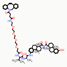 CC(C)C(NC(=O)CCOCCOCCOCCOCCNC(=O)CCC(=O)N1Cc2ccccc2C#Cc2ccccc21)C(=O)N[C@@H](C)C(=O)Nc1ccc2c(c1)[C@@]1(C)CCC[C@](C)(C(=O)NC(=O)[C@@]3(C)CCC[C@]4(C)c5cc(O)ccc5CC[C@@H]34)[C@@H]1CC2